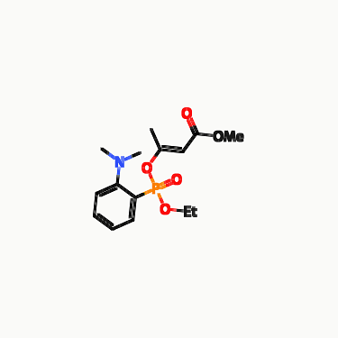 CCOP(=O)(OC(C)=CC(=O)OC)c1ccccc1N(C)C